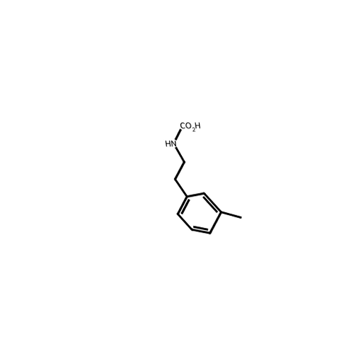 Cc1cccc(CCNC(=O)O)c1